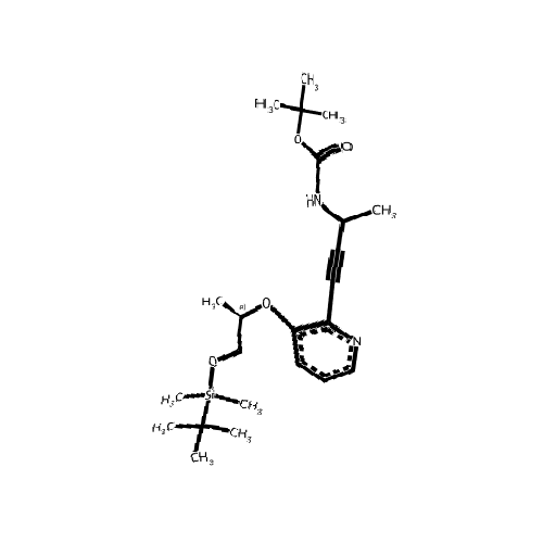 CC(C#Cc1ncccc1O[C@H](C)CO[Si](C)(C)C(C)(C)C)NC(=O)OC(C)(C)C